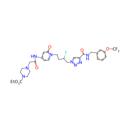 CCOC(=O)N1CCN(CC(=O)Nc2ccn(CCC(F)Cn3cc(C(=O)NCc4cccc(OC(F)(F)F)c4)nn3)c(=O)c2)CC1